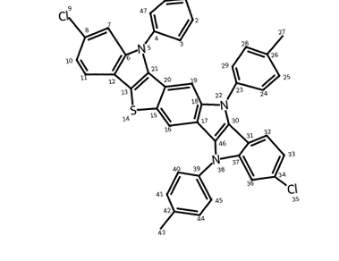 Cc1ccc(-n2c3cc(Cl)ccc3c3sc4cc5c(cc4c32)n(-c2ccc(C)cc2)c2c3ccc(Cl)cc3n(-c3ccc(C)cc3)c52)cc1